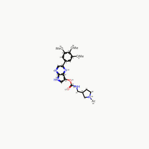 COc1cc(-c2cnc3[nH]cc(OC(=O)NCC4CCN(C(C)=O)C4)c3n2)cc(OC)c1OC